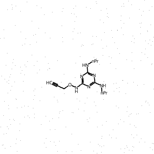 C#CCONc1nc(NCCC)nc(NCCC)n1